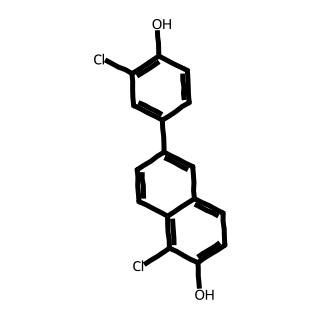 Oc1ccc(-c2ccc3c(Cl)c(O)ccc3c2)cc1Cl